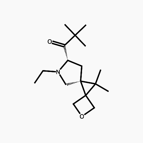 CCN1C[C@]2(C[C@H]1C(=O)C(C)(C)C)C(C)(C)C21COC1